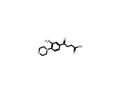 Nc1cc(C(=O)CCC(=O)O)ccc1N1CCOCC1